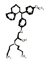 CCCCN(CCCC)CC(O)COc1ccc(C(c2ccc(OC)cc2)C2CCCc3ccccc32)cc1